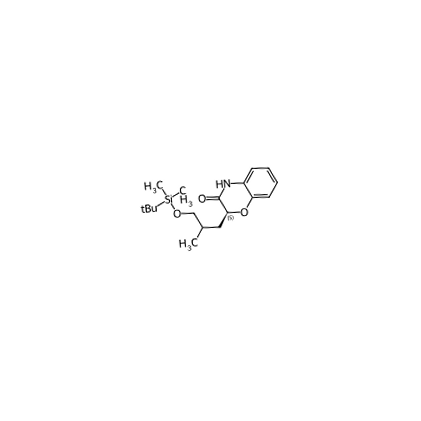 CC(CO[Si](C)(C)C(C)(C)C)C[C@@H]1Oc2ccccc2NC1=O